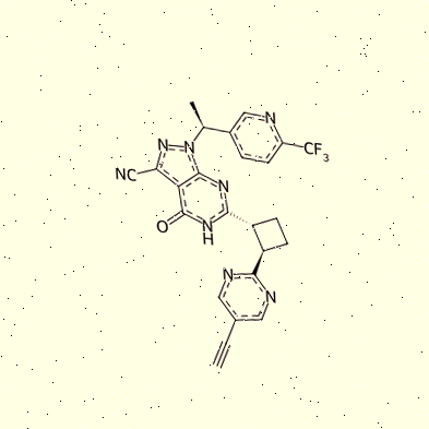 C#Cc1cnc([C@@H]2CC[C@H]2c2nc3c(c(C#N)nn3[C@@H](C)c3ccc(C(F)(F)F)nc3)c(=O)[nH]2)nc1